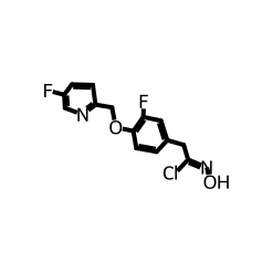 ON=C(Cl)Cc1ccc(OCc2ccc(F)cn2)c(F)c1